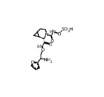 NC(CONC(=O)[C@@H]1C2CC2CCN1C(=O)NOS(=O)(=O)O)c1ccco1